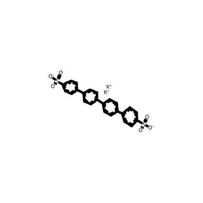 O=S(=O)([O-])c1ccc(-c2ccc(-c3ccc(-c4ccc(S(=O)(=O)[O-])cc4)cc3)cc2)cc1.[K+].[K+]